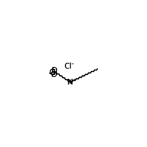 CCCCCCCCCCCCCCCCCC[N+](C)(C)CCCCCCCCCC[Si](OCC)(OCC)OCC.[Cl-]